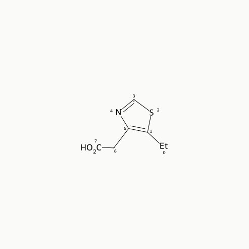 CCc1s[c]nc1CC(=O)O